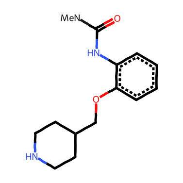 CNC(=O)Nc1ccccc1OCC1CCNCC1